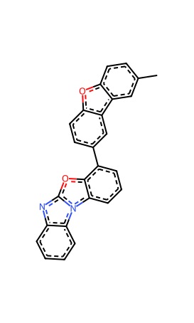 Cc1ccc2oc3ccc(-c4cccc5c4oc4nc6ccccc6n45)cc3c2c1